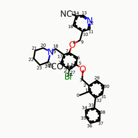 Cc1c(COc2cc(OCc3cncc(C#N)c3)c(CN3CCCC[C@H]3C(=O)O)cc2Br)cccc1-c1ccccc1